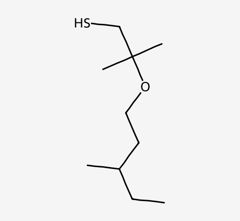 CCC(C)CCOC(C)(C)CS